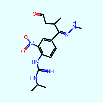 CN/N=C(/c1ccc(NC(=N)NC(C)C)c([N+](=O)[O-])c1)C(C)CC=O